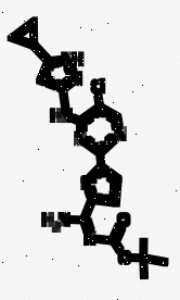 CC(C)(C)OC(=O)/N=C(/N)c1ccc(-c2ncc(Cl)c(Nc3cc(C4CC4)[nH]n3)n2)s1